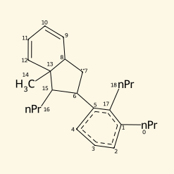 CCCc1cccc(C2[C]C3C=CC=CC3(C)C2CCC)c1CCC